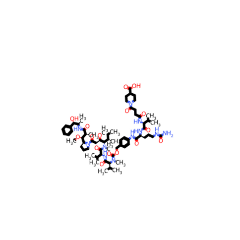 CC[C@H](C)[C@@H]([C@@H](CC(=O)N1CCC[C@H]1[C@H](OC)[C@@H](C)C(=O)N[C@H](C)[C@@H](O)c1ccccc1)OC)N(C)C(=O)[C@@H](NC(=O)[C@H](C(C)C)N(C)C(=O)OCc1ccc(NC(=O)[C@H](CCCNC(N)=O)NC(=O)[C@@H](NC(=O)CCC(=O)N2CCC(C(=O)O)CC2)C(C)C)cc1)C(C)C